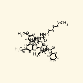 CCCCCCCNC(=O)NC1(C)CC(CNC(=O)c2ccccc2)C(N(C)C)C[N+]1(c1ccc(OC)cc1)c1ccc(OC)cc1